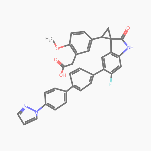 COc1ccc(C2CC23C(=O)Nc2cc(F)c(-c4ccc(-c5ccc(-n6cccn6)cc5)cc4)cc23)cc1CC(=O)O